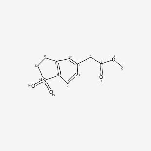 COC(=O)Cc1ccc2c(c1)CCS2(=O)=O